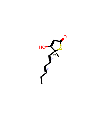 CC/C=C/C=C/[C@@]1(C)SC(=O)C=C1O